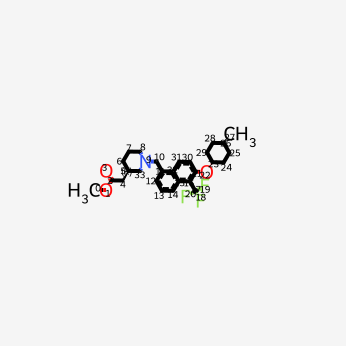 COC(=O)C[C@H]1CCCN(Cc2cccc3c(C(F)(F)F)c(O[C@H]4CC[C@@H](C)CC4)ccc23)C1